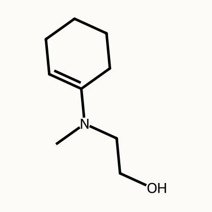 CN(CCO)C1=CCCCC1